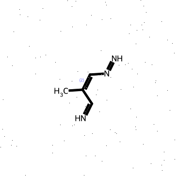 C/C(C=N)=C/N=N